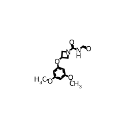 COc1cc(OC)cc(OC2CN(C(=O)NC=O)C2)c1